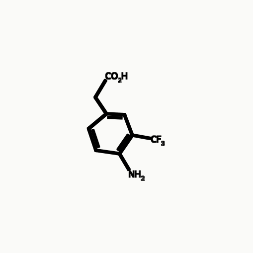 Nc1ccc(CC(=O)O)cc1C(F)(F)F